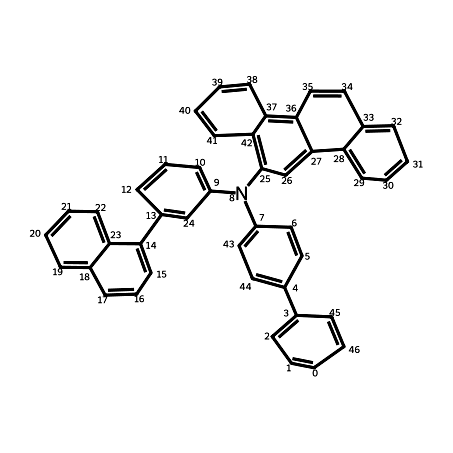 c1ccc(-c2ccc(N(c3cccc(-c4cccc5ccccc45)c3)c3cc4c5ccccc5ccc4c4ccccc34)cc2)cc1